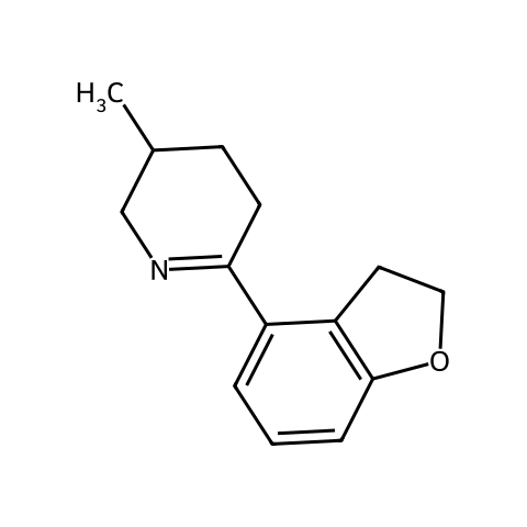 CC1CCC(c2cccc3c2CCO3)=NC1